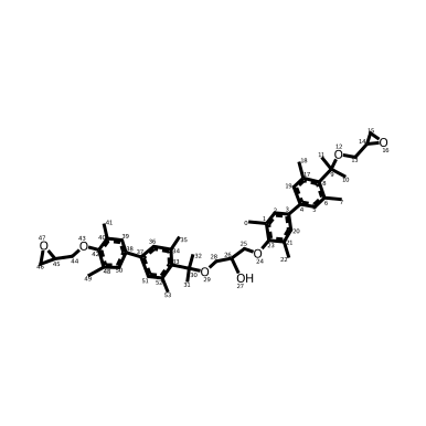 Cc1cc(-c2cc(C)c(C(C)(C)OCC3CO3)c(C)c2)cc(C)c1OCC(O)COC(C)(C)c1c(C)cc(-c2cc(C)c(OCC3CO3)c(C)c2)cc1C